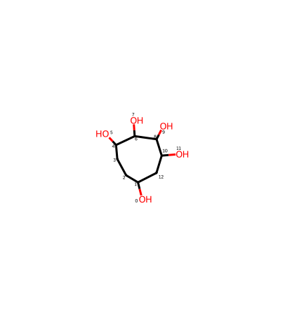 OC1CCC(O)C(O)C(O)C(O)C1